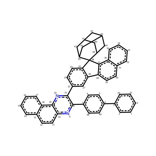 c1ccc(-c2ccc(-c3nc4ccc5ccccc5c4nc3-c3ccc4c(c3)-c3ccc5ccccc5c3C43C4CC5CC(C4)CC3C5)cc2)cc1